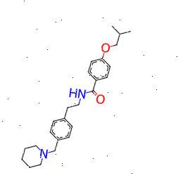 CC(C)COc1ccc(C(=O)NCCc2ccc(CN3CCCCC3)cc2)cc1